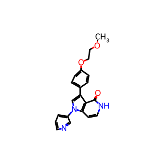 COCCOc1ccc(-c2cn(-c3cccnc3)c3cc[nH]c(=O)c23)cc1